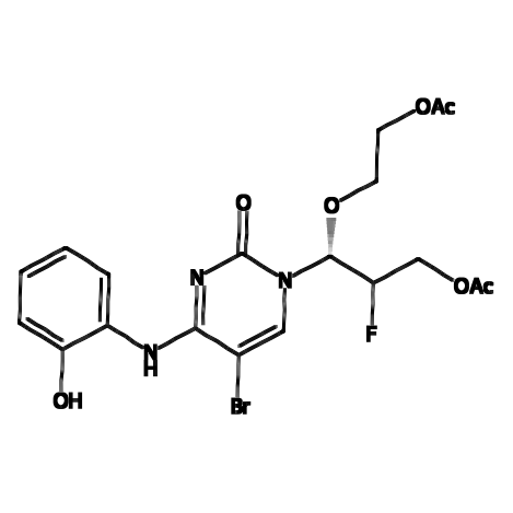 CC(=O)OCCO[C@H](C(F)COC(C)=O)n1cc(Br)c(Nc2ccccc2O)nc1=O